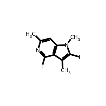 Cc1cc2c(c(I)n1)c(C)c(I)n2C